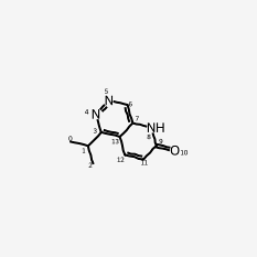 CC(C)c1nncc2[nH]c(=O)ccc12